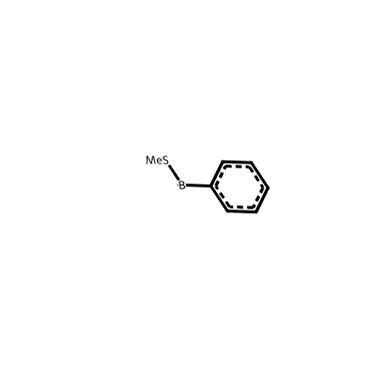 CS[B]c1ccccc1